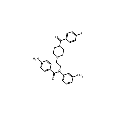 Cc1cccc(N(CCN2CCC(C(=O)c3ccc(F)cc3)CC2)C(=O)c2ccc(N)cc2)c1